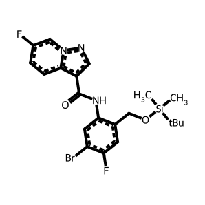 CC(C)(C)[Si](C)(C)OCc1cc(F)c(Br)cc1NC(=O)c1cnn2cc(F)ccc12